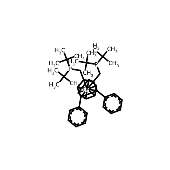 CC(C)(C)P(C[C]12[CH]3[C]4(c5ccccc5)[C]5(c6ccccc6)[C]1(CP(C(C)(C)C)C(C)(C)C)[Fe]32451678[CH]2[CH]1[CH]6[CH]7[CH]28)C(C)(C)C